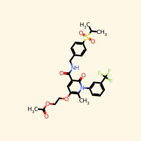 CC(=O)OCCOc1cc(C(=O)NCc2ccc(S(=O)(=O)C(C)C)cc2)c(=O)n(-c2cccc(C(F)(F)F)c2)c1C